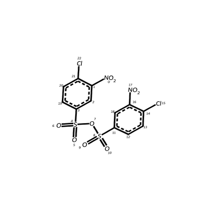 O=[N+]([O-])c1cc(S(=O)(=O)OS(=O)(=O)c2ccc(Cl)c([N+](=O)[O-])c2)ccc1Cl